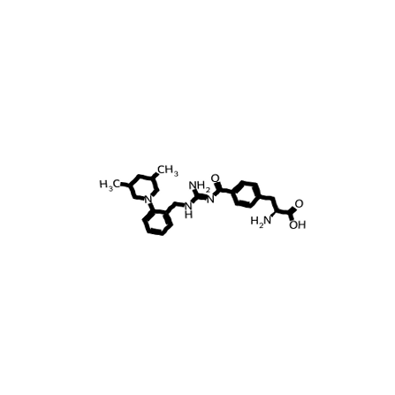 CC1CC(C)CN(c2ccccc2CN/C(N)=N/C(=O)c2ccc(C[C@H](N)C(=O)O)cc2)C1